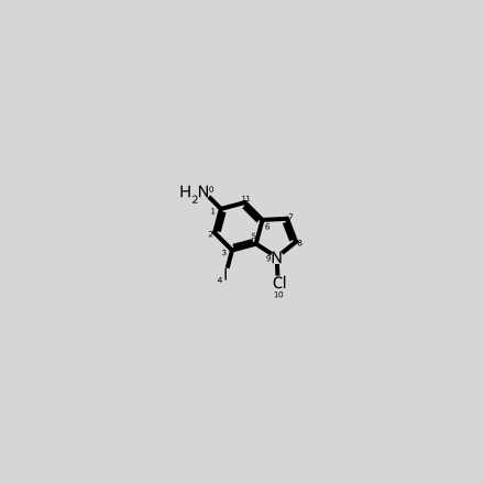 Nc1cc(I)c2c(ccn2Cl)c1